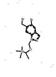 CC(OCn1ncc2cc(Br)c(CBr)cc21)[Si](C)(C)C